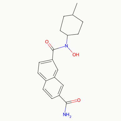 CC1CCC(N(O)C(=O)c2ccc3ccc(C(N)=O)cc3c2)CC1